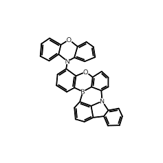 c1ccc2c(c1)Oc1ccccc1N2c1cccc2c1Oc1cccc3c1B2c1cccc2c4ccccc4n-3c12